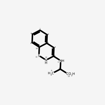 CC(NC1=Cc2ccccc2SN1)C(=O)O